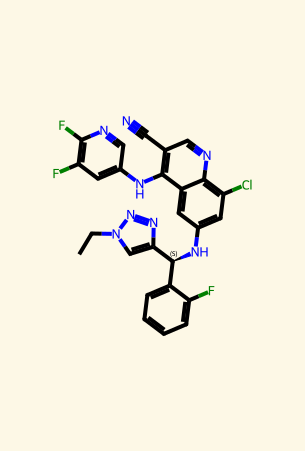 CCn1cc([C@@H](Nc2cc(Cl)c3ncc(C#N)c(Nc4cnc(F)c(F)c4)c3c2)c2ccccc2F)nn1